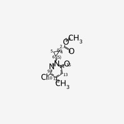 COC(=O)[C@H]1C[C@@H]1n1nc(Cl)c(C)cc1=O